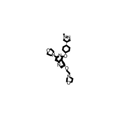 CN1CC([C@H]2CC[C@@H](Oc3nc(N4CCOCC4)cc4ncc(OCCN5CCOCC5)cc34)CC2)C=N1